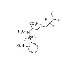 CN(C(COCC(F)(F)C(F)F)C(=O)O)S(=O)(=O)c1ccccc1[N+](=O)[O-]